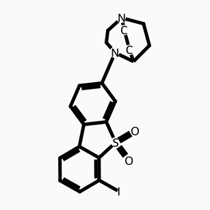 O=S1(=O)c2cc(N3CCN4CCC3CC4)ccc2-c2cccc(I)c21